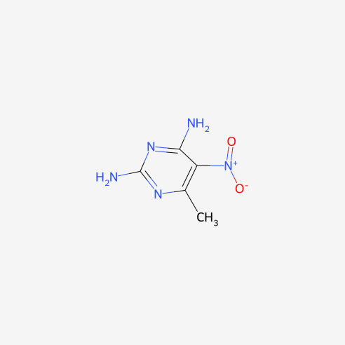 Cc1nc(N)nc(N)c1[N+](=O)[O-]